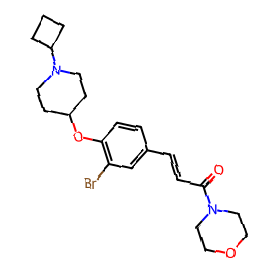 O=C(/C=C/c1ccc(OC2CCN(C3CCC3)CC2)c(Br)c1)N1CCOCC1